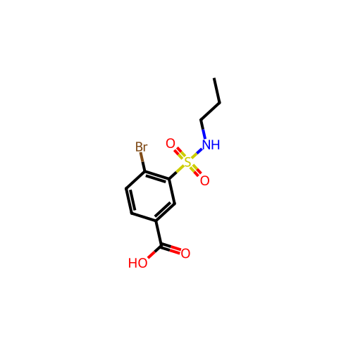 CCCNS(=O)(=O)c1cc(C(=O)O)ccc1Br